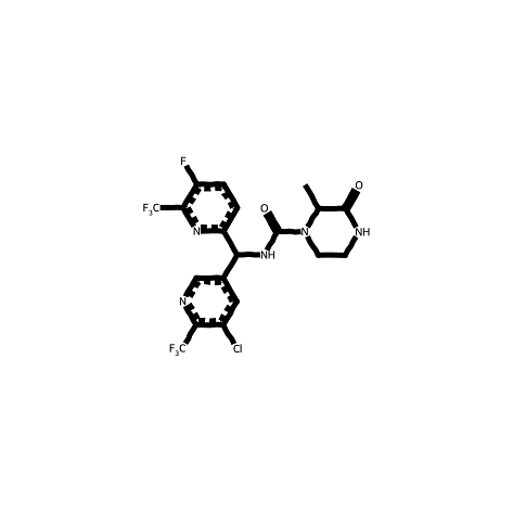 CC1C(=O)NCCN1C(=O)NC(c1cnc(C(F)(F)F)c(Cl)c1)c1ccc(F)c(C(F)(F)F)n1